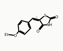 CCOc1ccc(/C=C2/SC(=O)NC2=O)cc1